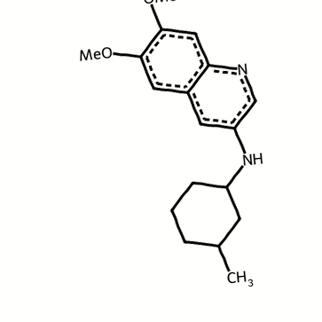 COc1cc2cc(NC3CCCC(C)C3)cnc2cc1OC